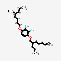 C=CCCCC(CCC)COc1ccc(OCCCCC(C)CCC)c(F)c1F